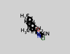 C[C@H]1CC[C@H]2[C@H](CC[C@H]3C4[C@H](C)C[C@H](C(=O)Cn5cc(C#N)c(Cl)n5)[C@@]4(C)CC[C@H]23)C1